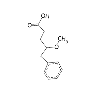 COC(CCC(=O)O)Cc1ccccc1